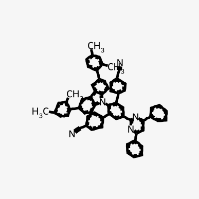 Cc1ccc(-c2ccc3c(c2)c2cc(-c4ccc(C)cc4C)ccc2n3-c2c(-c3ccc(C#N)cc3)cc(-c3nc(-c4ccccc4)cc(-c4ccccc4)n3)cc2-c2ccc(C#N)cc2)c(C)c1